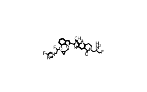 Cn1c(-c2cc3cccc(OC(F)Cn4cnc(F)c4)c3n2CC2CC2)nc2cc3c(nc21)CCN(CC(N)CF)C3=O